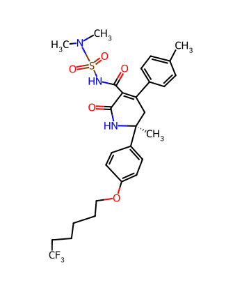 Cc1ccc(C2=C(C(=O)NS(=O)(=O)N(C)C)C(=O)N[C@](C)(c3ccc(OCCCCCC(F)(F)F)cc3)C2)cc1